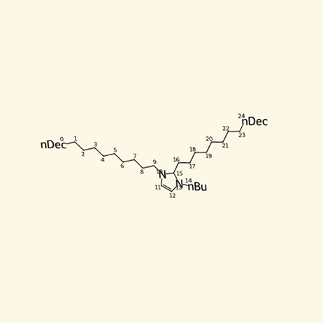 CCCCCCCCCCCCCCCCCCCN1C=CN(CCCC)C1CCCCCCCCCCCCCCCCCC